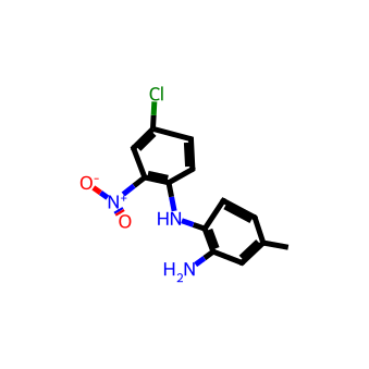 Cc1ccc(Nc2ccc(Cl)cc2[N+](=O)[O-])c(N)c1